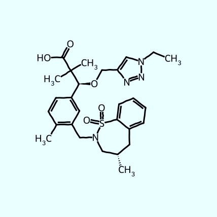 CCn1cc(CO[C@@H](c2ccc(C)c(CN3C[C@@H](C)Cc4ccccc4S3(=O)=O)c2)C(C)(C)C(=O)O)nn1